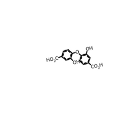 O=C(O)c1ccc(Oc2ccc(C(=O)O)cc2O)c(O)c1